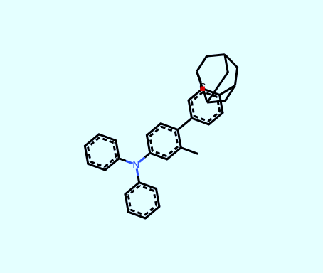 Cc1cc(N(c2ccccc2)c2ccccc2)ccc1-c1ccc2c(c1)C1CC3CC(CC2C3)C1